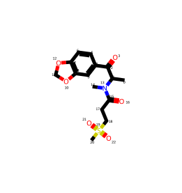 CC(C(=O)c1ccc2c(c1)OCO2)N(C)C(=O)CCS(C)(=O)=O